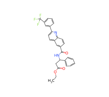 CCOC(=O)CC(NC(=O)c1ccc2nc(-c3cccc(C(F)(F)F)c3)ccc2c1)c1ccccc1